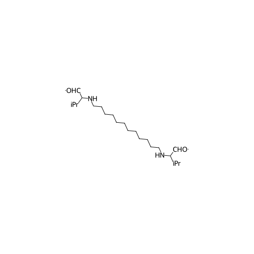 CC(C)C([C]=O)NCCCCCCCCCCCCNC([C]=O)C(C)C